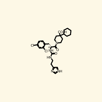 O=C(NCCc1c[nH]cn1)N[C@H](Cc1ccc(Cl)cc1Cl)C(=O)N1CCC(C(=O)O)(C2CCCCC2)CC1